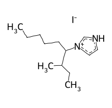 CCCCCC(C(C)CC)[n+]1cc[nH]c1.[I-]